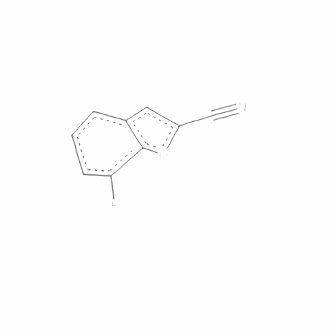 N#Cc1cc2cccc(F)c2o1